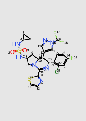 O=S(=O)(NC1CC1)N[C@H]1CC2=C(c3cnn(C(F)F)c3)[C@H](c3ccc(F)cc3Cl)N=C(c3nccs3)N2C1